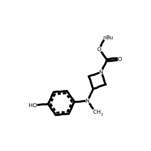 CCCCOC(=O)N1CC(N(C)c2ccc(O)cc2)C1